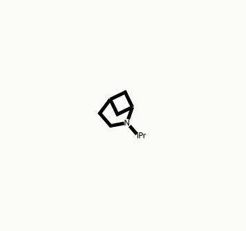 CC(C)N1CCC2CC1C2